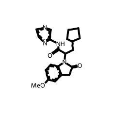 COc1ccc2c(c1)CC(=O)N2C(CC1CCCC1)C(=O)Nc1cnccn1